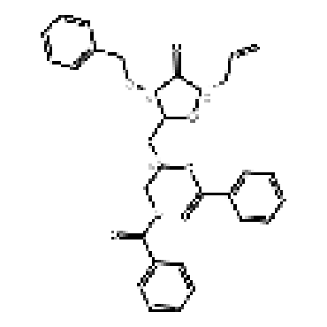 C=CC[C@@H]1OC(C[C@@H](COC(=O)c2ccccc2)OC(=O)c2ccccc2)[C@H](OCc2ccccc2)C1=O